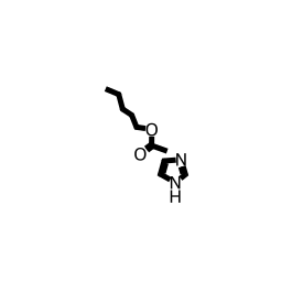 CCCCCOC(C)=O.c1c[nH]cn1